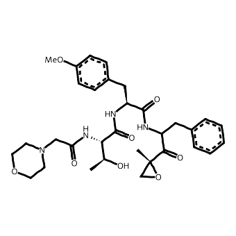 COc1ccc(C[C@H](NC(=O)[C@@H](NC(=O)CN2CCOCC2)[C@H](C)O)C(=O)NC(Cc2ccccc2)C(=O)[C@@]2(C)CO2)cc1